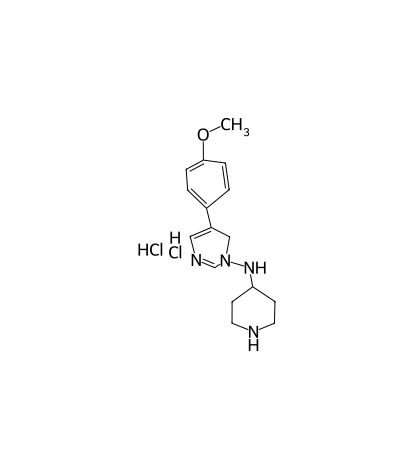 COc1ccc(C2=CN=CN(NC3CCNCC3)C2)cc1.Cl.Cl